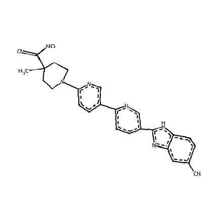 CC1(C(=O)N=O)CCN(c2ccc(-c3ccc(-c4nc5cc(C#N)ccc5[nH]4)cn3)cn2)CC1